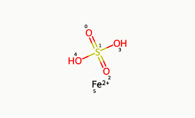 O=S(=O)(O)O.[Fe+2]